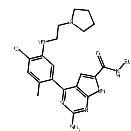 CCNC(=O)C1=Cc2c(nc(N)nc2-c2cc(BCCN3CCCC3)c(Cl)cc2C)B1